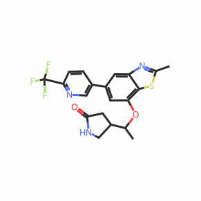 Cc1nc2cc(-c3ccc(C(F)(F)F)nc3)cc(OC(C)C3CNC(=O)C3)c2s1